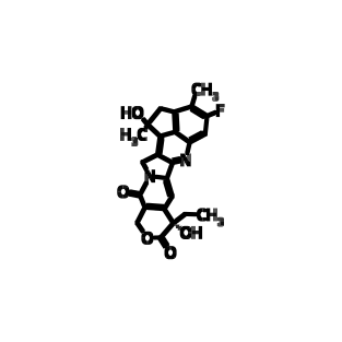 CC[C@@]1(O)C(=O)OCc2c1cc1n(c2=O)Cc2c-1nc1cc(F)c(C)c3c1c2C(C)(O)C3